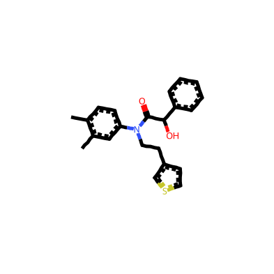 Cc1ccc(N(CCc2ccsc2)C(=O)C(O)c2ccccc2)cc1C